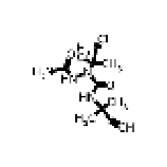 C#CC(C)(C)NC(=O)N(NC(N)=O)C(C)(C)C#C